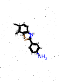 Cc1ccc2nc(-c3ccc(N)cc3)sc2c1C